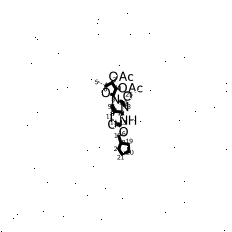 CC(=O)O[C@@H]1[C@H](OC(C)=O)[C@@H](C)O[C@H]1n1cc(I)c(NC(=O)OCC2CCCC2)nc1=O